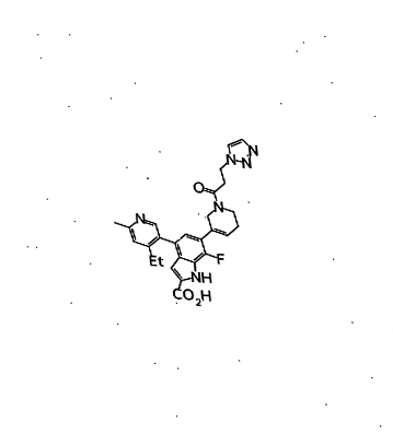 CCc1cc(C)ncc1-c1cc(C2=CCCN(C(=O)CCn3ccnn3)C2)c(F)c2[nH]c(C(=O)O)cc12